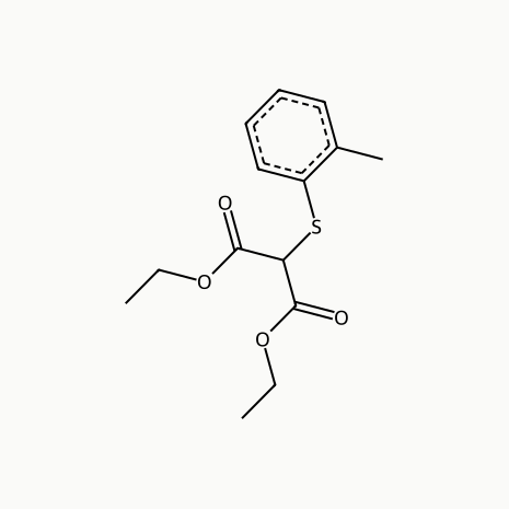 CCOC(=O)C(Sc1ccccc1C)C(=O)OCC